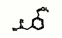 C=Cc1cccc(CN(CC)CC)c1